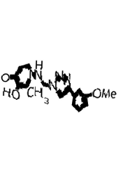 COc1cccc(-c2cn(CNn3ccc(=O)c(O)c3C)nn2)c1